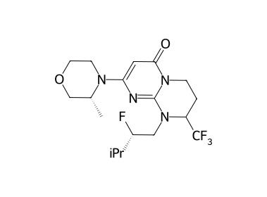 CC(C)[C@H](F)CN1c2nc(N3CCOC[C@H]3C)cc(=O)n2CCC1C(F)(F)F